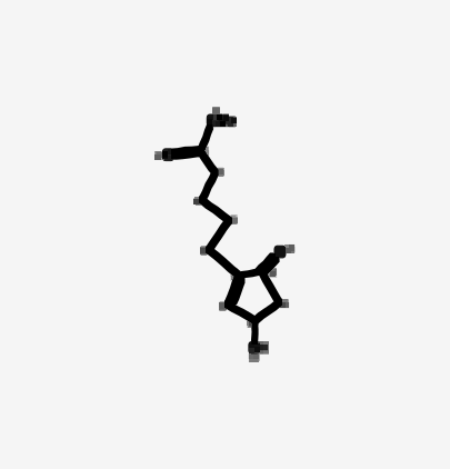 COC(=O)CCCCC1=CC(O)CC1=O